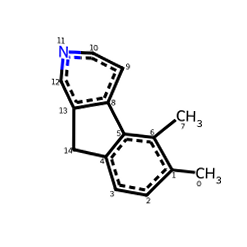 Cc1ccc2c(c1C)-c1ccncc1C2